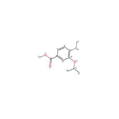 COC(=O)c1ccc(SC)c(OC(C)C)c1